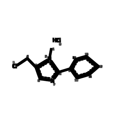 Cl.Cn1c(CCl)cnc1-c1ccccc1